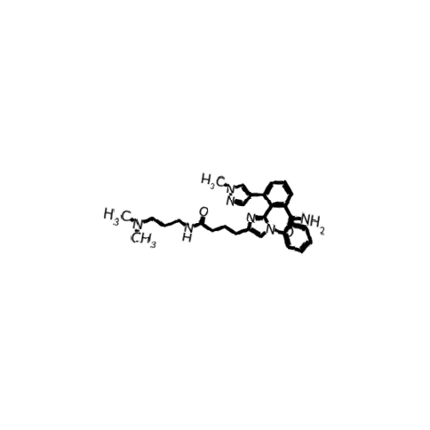 CN(C)CCCNC(=O)CCCc1cn(-c2ccccc2)c(-c2c(C(N)=O)cccc2-c2cnn(C)c2)n1